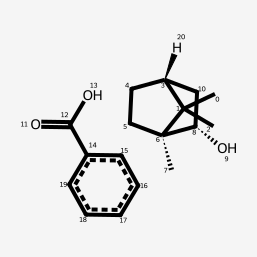 CC1(C)[C@@H]2CC[C@]1(C)[C@@H](O)C2.O=C(O)c1ccccc1